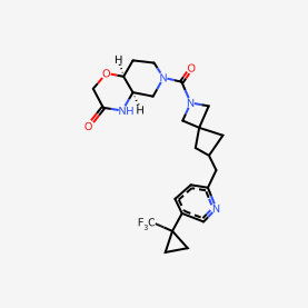 O=C1CO[C@H]2CCN(C(=O)N3CC4(CC(Cc5ccc(C6(C(F)(F)F)CC6)cn5)C4)C3)C[C@H]2N1